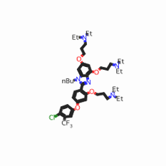 CCCCn1c(-c2ccc(Oc3ccc(Cl)c(C(F)(F)F)c3)cc2OCCCN(CC)CC)nc2c(OCCCN(CC)CC)cc(OCCCN(CC)CC)cc21